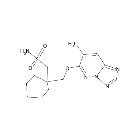 Cc1cc2ncnn2nc1OCC1(CS(N)(=O)=O)CCCCC1